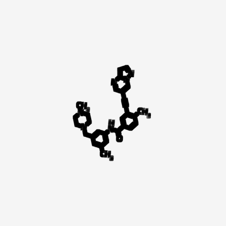 Cc1cc(CN2CCN(C)CC2)cc(NC(=O)c2ccc(C)c(C#Cc3cnc4ccnn4c3)c2)c1